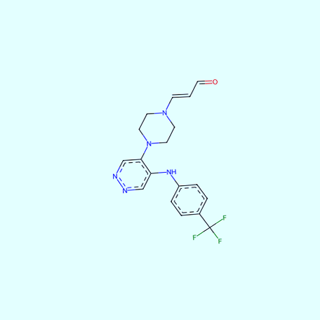 O=CC=CN1CCN(c2cnncc2Nc2ccc(C(F)(F)F)cc2)CC1